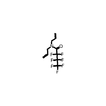 C=CCN(CC=C)C(=O)C(F)(F)C(F)(F)C(F)(F)F